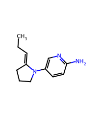 CCC=C1CCCN1c1ccc(N)nc1